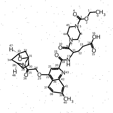 CCOC(=O)N1CCN(C(=O)C(CCC(=O)O)NC(=O)c2cc(OCC(=O)N3[C@H]4CC[C@@]35C[C@H](C4)O5)c3ccc(C)cc3n2)CC1